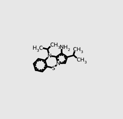 CC(C)c1cn2c(c1N)N(C(C)C)c1ccccc1S2